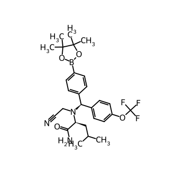 CC(C)C[C@@H](C(N)=O)N(CC#N)[C@H](c1ccc(OC(F)(F)F)cc1)c1ccc(B2OC(C)(C)C(C)(C)O2)cc1